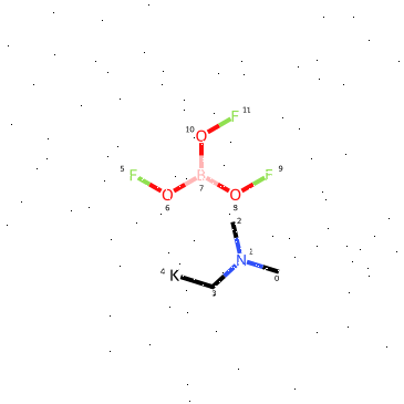 CN(C)[CH2][K].FOB(OF)OF